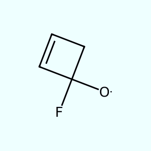 [O]C1(F)C=CC1